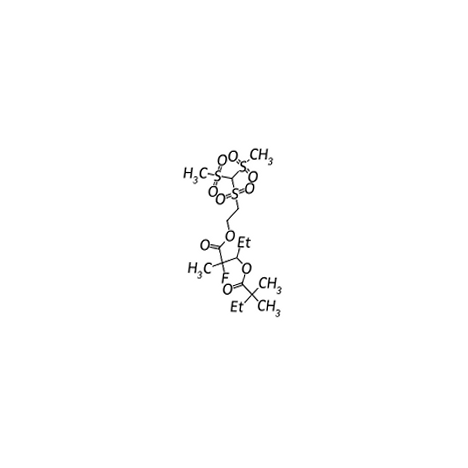 CCC(OC(=O)C(C)(C)CC)C(C)(F)C(=O)OCCS(=O)(=O)C(S(C)(=O)=O)S(C)(=O)=O